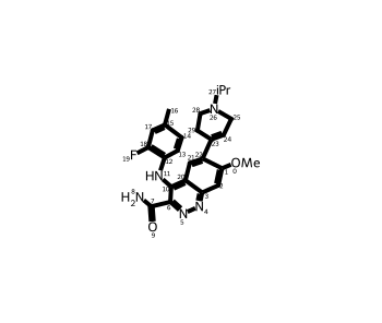 COc1cc2nnc(C(N)=O)c(Nc3ccc(C)cc3F)c2cc1C1=CCN(C(C)C)CC1